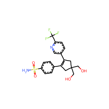 NS(=O)(=O)c1ccc(C2=C(c3ccc(C(F)(F)F)nc3)CC(CO)(CO)C2)cc1